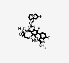 CN1c2nc(OC[C@@]34CCCN3C[C@H](F)C4)nc3c(F)c(-c4ccc(F)c5sc(N)c(C#N)c45)c(Cl)c(c23)OCCC12COC2